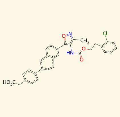 Cc1noc(-c2ccc3cc(-c4ccc(CC(=O)O)cc4)ccc3c2)c1NC(=O)OCCc1ccccc1Cl